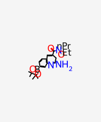 CCCN(OCC)C(=O)C1=Cc2ccc(B3OC(C)(C)C(C)(C)O3)cc2N=C(N)C1